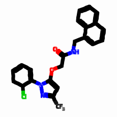 O=C(COc1cc(C(F)(F)F)nn1C1=CC=CCC1Cl)NCc1cccc2ccccc12